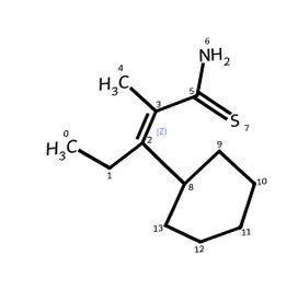 CC/C(=C(\C)C(N)=S)C1CCCCC1